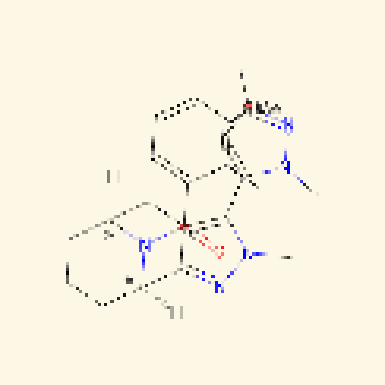 COc1cccc(C(=O)N2[C@H]3CCC[C@@H]2c2nn(C)c(-c4cc(C)nn4C)c2C3)c1C